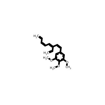 C=C\C=C/C=C(C=C)/C=C\c1cc(OC)c(OC)c(OC)c1